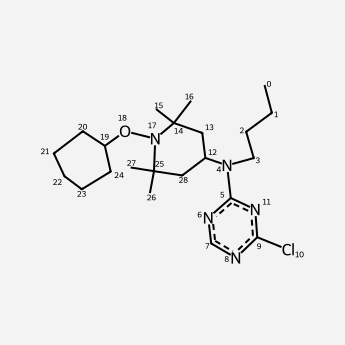 CCCCN(c1ncnc(Cl)n1)C1CC(C)(C)N(OC2CCCCC2)C(C)(C)C1